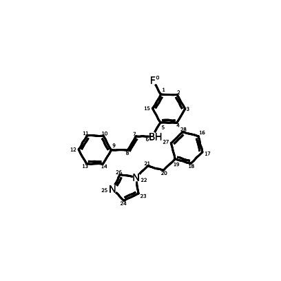 Fc1cccc(BC=Cc2ccccc2)c1.c1ccc(CCn2ccnc2)cc1